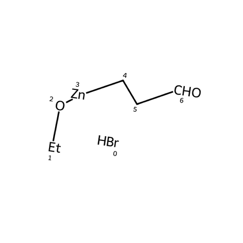 Br.CC[O][Zn][CH2]CC=O